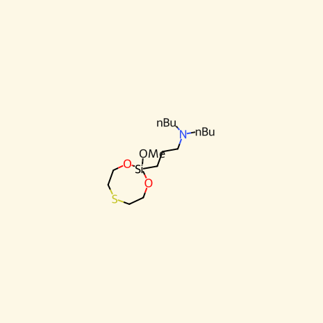 CCCCN(CCCC)CCC[Si]1(OC)OCCSCCO1